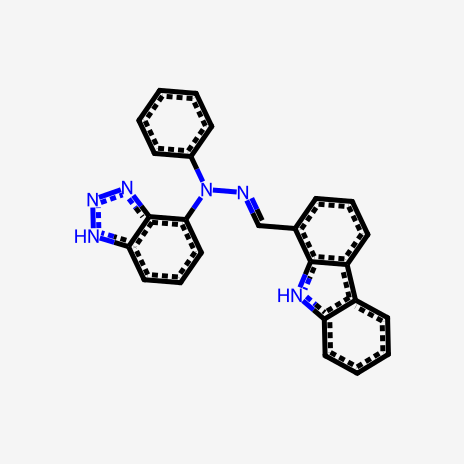 C(=N\N(c1ccccc1)c1cccc2[nH]nnc12)/c1cccc2c1[nH]c1ccccc12